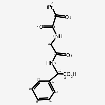 CC(C)C(=O)C(=O)NCC(=O)NC(C(=O)O)c1ccccc1